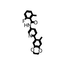 Cc1cc2c(cc1-c1ccc(NC(=O)c3c(C)cccc3F)cn1)OCCO2